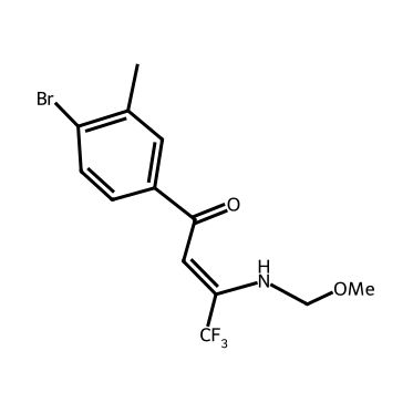 COCNC(=CC(=O)c1ccc(Br)c(C)c1)C(F)(F)F